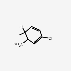 CC1(Cl)C=CC(Cl)=CC1C(=O)O